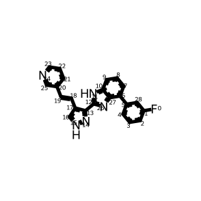 Fc1cccc(-c2cccc3[nH]c(-c4n[nH]cc4C=Cc4cccnc4)nc23)c1